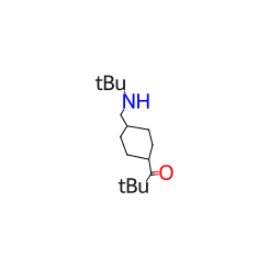 CC(C)(C)NCC1CCC(C(=O)C(C)(C)C)CC1